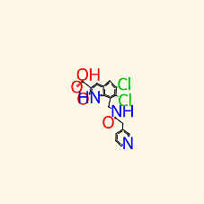 O=C(Cc1cccnc1)NCc1c(Cl)c(Cl)cc2cc(C(=O)O)c(=O)[nH]c12